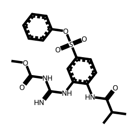 COC(=O)NC(=N)Nc1cc(S(=O)(=O)Oc2ccccc2)ccc1NC(=O)C(C)C